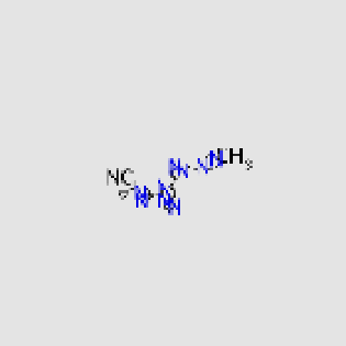 CN1CCN(CCn2cc(-c3cc4nccn4c(-c4cnn(C(CC#N)C5CC5)c4)n3)cn2)CC1